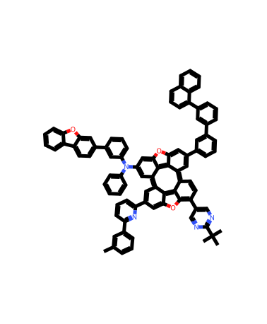 Cc1cccc(-c2cccc(-c3cc4oc5c(-c6cnc(C(C)(C)C)nc6)ccc6c7cc(-c8cccc(-c9cccc(-c%10cccc%11ccccc%10%11)c9)c8)cc8oc9cc(N(c%10ccccc%10)c%10cccc(-c%11ccc%12c(c%11)oc%11ccccc%11%12)c%10)cc(c(c3)c4c56)c9c87)n2)c1